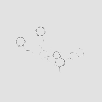 O[C@@]1(c2csc3c(N4CC5CCCC5C4)cc(Cl)nc23)O[C@H](COCc2ccccc2)[C@@H](OCc2ccccc2)[C@@H]1F